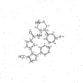 Cn1ncc(-c2ccncc2)c1-c1ccc(C(=O)N[C@@H]2CNCC[C@H]2c2cccc(F)c2)s1